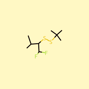 CC(C)C(SSC(C)(C)C)C(F)F